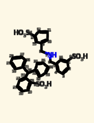 O=S(=O)(O)c1cccc(CNCc2cccc(S(=O)(=O)O)c2)c1.O=S(=O)(O)c1ccccc1C(c1ccccc1)c1ccccc1